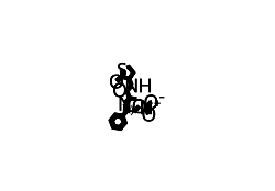 CC(=N[C@@H](CO[N+](=O)[O-])c1ccccc1)C(=O)NC1CCSC1=O